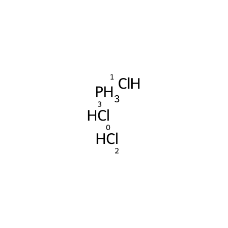 Cl.Cl.Cl.P